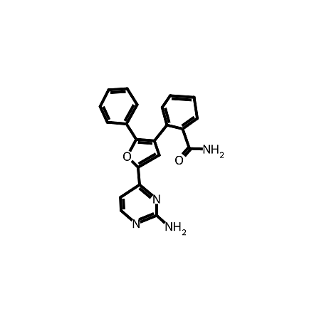 NC(=O)c1ccccc1-c1cc(-c2ccnc(N)n2)oc1-c1ccccc1